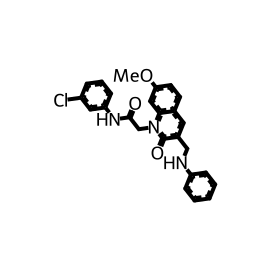 COc1ccc2cc(CNc3ccccc3)c(=O)n(CC(=O)Nc3cccc(Cl)c3)c2c1